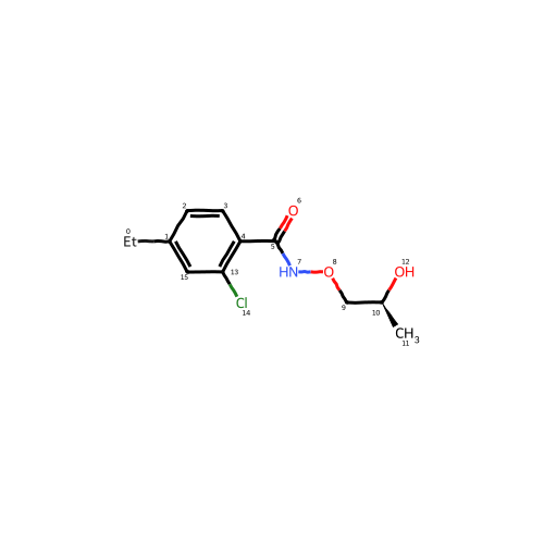 CCc1ccc(C(=O)NOC[C@H](C)O)c(Cl)c1